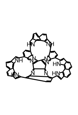 c1cc2ccc3cc4[nH]c3c2c2[nH]c(cc12)c1ccc2c3cc5ccc6ccc7cc([nH]c7c6c5[nH]3)c3ccc5c6cc7ccc8ccc9cc([nH]c9c8c7[nH]6)c6ccc4c4nc7c8nc1c2nc8c1nc3c5nc1c7nc64